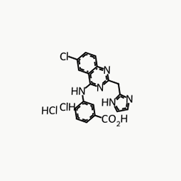 Cl.Cl.O=C(O)c1cccc(Nc2nc(Cc3ncc[nH]3)nc3ccc(Cl)cc23)c1